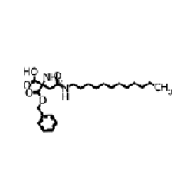 CCCCCCCCCCCCNC(=O)CC(N)(C(=O)O)C(=O)OCc1ccccc1